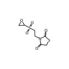 O=C1CSC(=O)N1CCS(=O)(=O)C1CO1